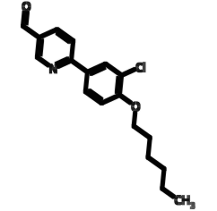 CCCCCCOc1ccc(-c2ccc(C=O)cn2)cc1Cl